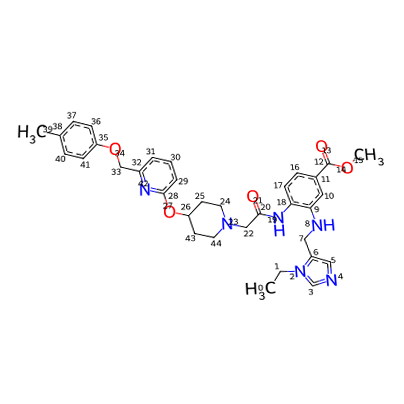 CCn1cncc1CNc1cc(C(=O)OC)ccc1NC(=O)CN1CCC(Oc2cccc(COc3ccc(C)cc3)n2)CC1